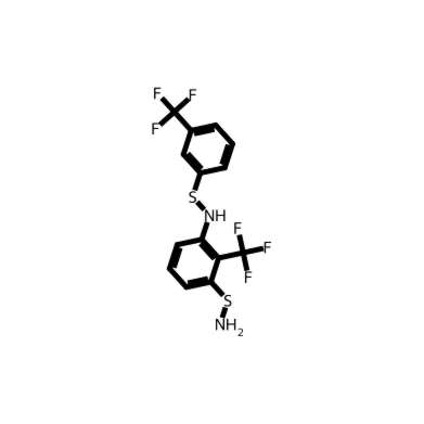 NSc1cccc(NSc2cccc(C(F)(F)F)c2)c1C(F)(F)F